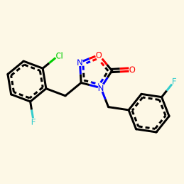 O=c1onc(Cc2c(F)cccc2Cl)n1Cc1cccc(F)c1